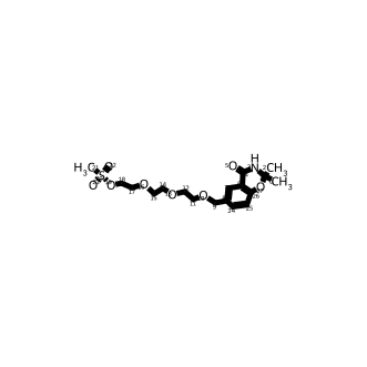 CC1(C)NC(=O)c2cc(COCCOCCOCCOS(C)(=O)=O)ccc2O1